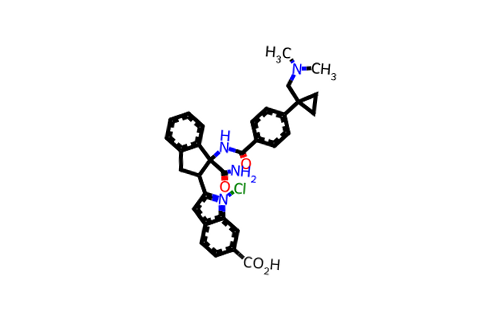 CN(C)CC1(c2ccc(C(=O)NC3(C(N)=O)c4ccccc4CC3c3cc4ccc(C(=O)O)cc4n3Cl)cc2)CC1